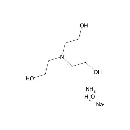 N.O.OCCN(CCO)CCO.[Na]